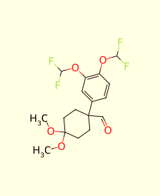 COC1(OC)CCC(C=O)(c2ccc(OC(F)F)c(OC(F)F)c2)CC1